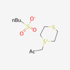 CC(=O)C[S+]1CCSCC1.CCCCS(=O)(=O)[O-]